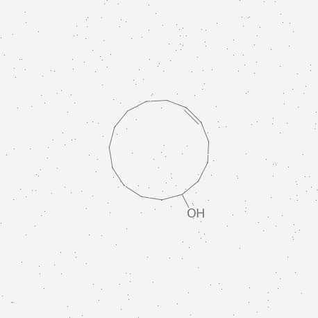 OC1CCCC=CCCCCCCCCC1